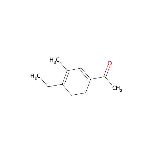 CCC1=C(C)C=C(C(C)=O)CC1